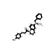 CN(Cc1ccccc1)c1ccc2c(c1)CCCN2C(=O)CCc1ccc(C#N)cc1